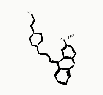 Cl.OCCN1CCN(CCC=C2c3ccccc3Sc3ccc(Cl)cc32)CC1